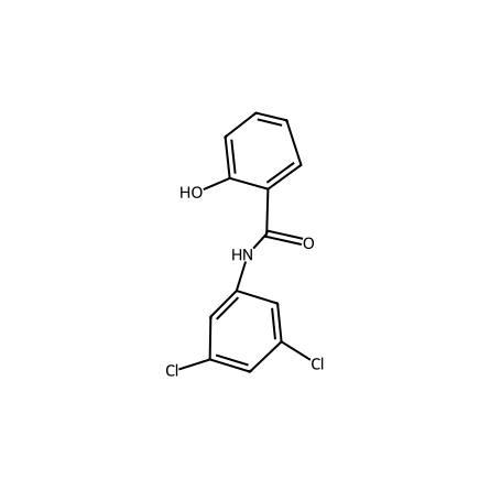 O=C(Nc1cc(Cl)cc(Cl)c1)c1ccccc1O